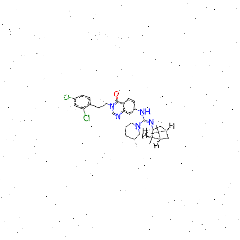 C[C@@H]1CCCN(/C(=N\[C@H]2C[C@@H]3C[C@H]([C@@H]2C)C3(C)C)Nc2ccc3c(=O)n(CCc4ccc(Cl)cc4Cl)cnc3c2)C1